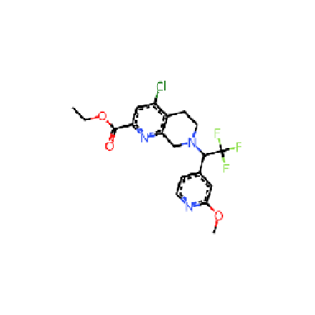 CCOC(=O)c1cc(Cl)c2c(n1)CN(C(c1ccnc(OC)c1)C(F)(F)F)CC2